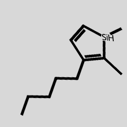 CCCCCC1=C(C)[SiH](C)C=C1